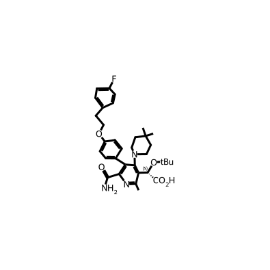 Cc1nc(C(N)=O)c(-c2ccc(OCCc3ccc(F)cc3)cc2)c(N2CCC(C)(C)CC2)c1[C@H](OC(C)(C)C)C(=O)O